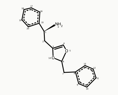 N[C@@H](CC1=COC(Cc2ccccc2)O1)c1ccccc1